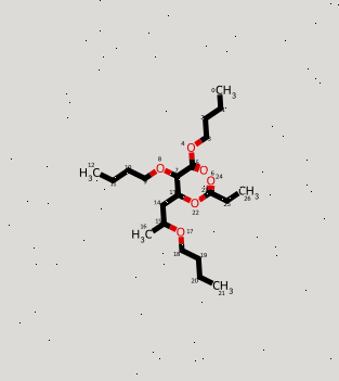 CCCCOC(=O)C(OCCCC)C(CC(C)OCCCC)OC(=O)CC